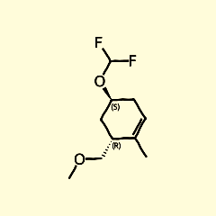 COC[C@@H]1C[C@@H](OC(F)F)CC=C1C